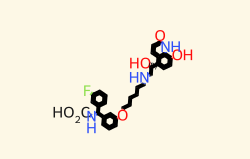 O=C(O)NC(c1cccc(F)c1)c1cccc(OCCCCCCNC[C@H](O)c2ccc(O)c3[nH]c(=O)ccc23)c1